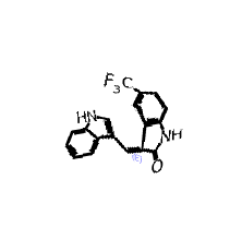 O=C1Nc2ccc(C(F)(F)F)cc2/C1=C\c1c[nH]c2ccccc12